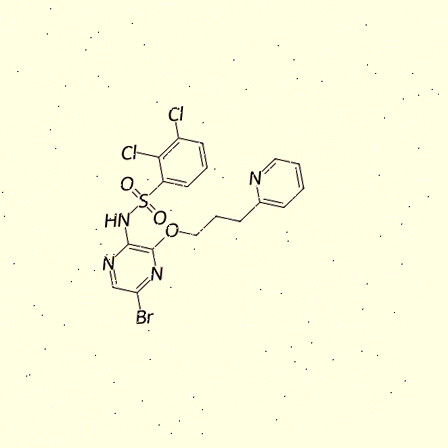 O=S(=O)(Nc1ncc(Br)nc1OCCCc1ccccn1)c1cccc(Cl)c1Cl